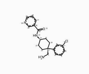 NC[C@]1(c2cccc(Cl)c2)CC[C@H](NC(=O)c2cccnc2)CC1